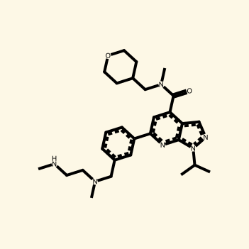 CNCCN(C)Cc1cccc(-c2cc(C(=O)N(C)CC3CCOCC3)c3cnn(C(C)C)c3n2)c1